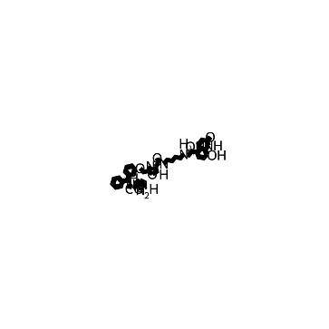 O=C(NCCCCNC[C@H](O)c1ccc(O)c2[nH]c(=O)ccc12)c1coc(COc2cccc([C@H](c3ccccc3)N(C(=O)O)[C@H]3CN4CCC3CC4)c2)n1